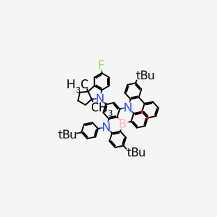 CC(C)(C)c1ccc(N2c3ccc(C(C)(C)C)cc3B3c4ccccc4N(c4ccc(C(C)(C)C)cc4-c4ccccc4)c4cc(N5c6ccc(F)cc6C6(C)CCCC56C)cc2c43)cc1